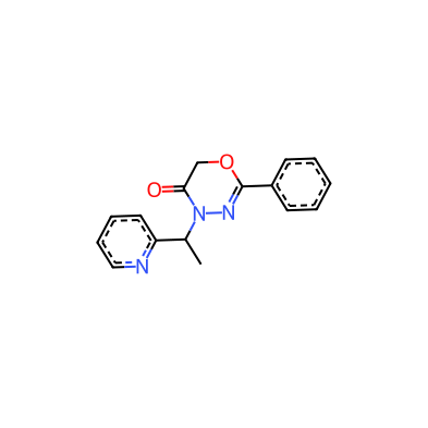 CC(c1ccccn1)N1N=C(c2ccccc2)OCC1=O